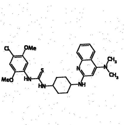 COc1cc(NC(=S)NC2CCC(Nc3cc(N(C)C)c4ccccc4n3)CC2)c(OC)cc1Cl